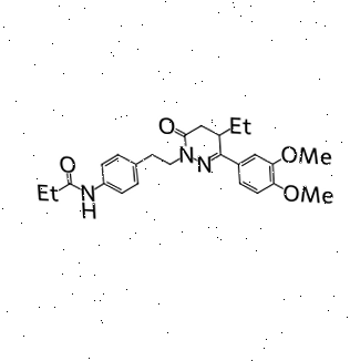 CCC(=O)Nc1ccc(CCN2N=C(c3ccc(OC)c(OC)c3)C(CC)CC2=O)cc1